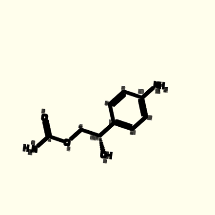 NC(=O)OC[C@@H](O)c1ccc(N)cc1